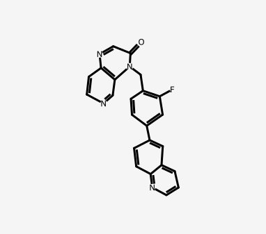 O=c1cnc2ccncc2n1Cc1ccc(-c2ccc3ncccc3c2)cc1F